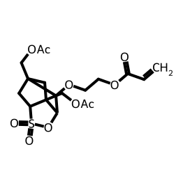 C=CC(=O)OCCOC1C2OS(=O)(=O)C3CC1(COC(C)=O)CC23COC(C)=O